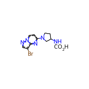 O=C(O)NC1CCN(c2ccn3ncc(Br)c3n2)C1